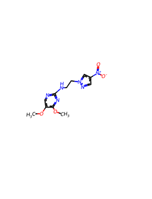 COc1cnc(NCCn2cc([N+](=O)[O-])cn2)nc1OC